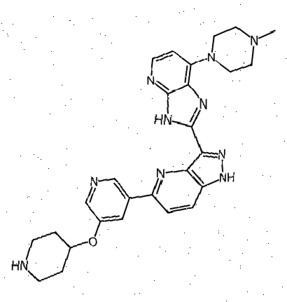 CN1CCN(c2ccnc3[nH]c(-c4n[nH]c5ccc(-c6cncc(OC7CCNCC7)c6)nc45)nc23)CC1